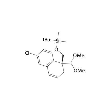 COC(OC)[C@]1(CO[Si](C)(C)C(C)(C)C)CC=Cc2cc(Cl)ccc21